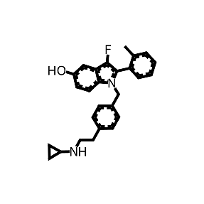 Cc1ccccc1-c1c(F)c2cc(O)ccc2n1Cc1ccc(CCNC2CC2)cc1